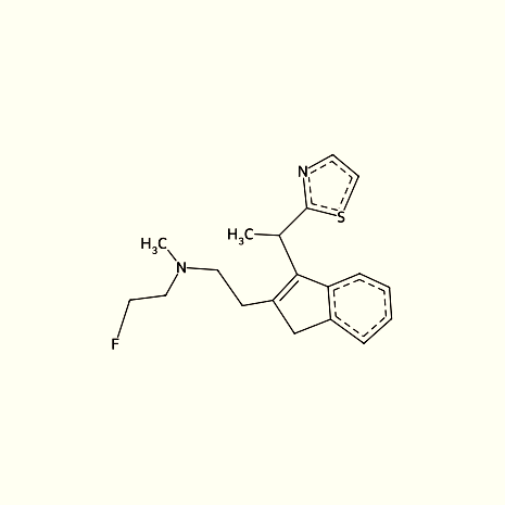 CC(C1=C(CCN(C)CCF)Cc2ccccc21)c1nccs1